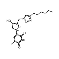 CCCCCCc1cn(C[C@H]2O[C@@H](n3cc(C)c(=O)[nH]c3=O)CC2O)nn1